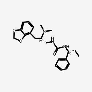 CC[C@@H](NC(=O)NC[C@H](Cc1cccc2c1OCO2)N(C)C)c1ccccc1